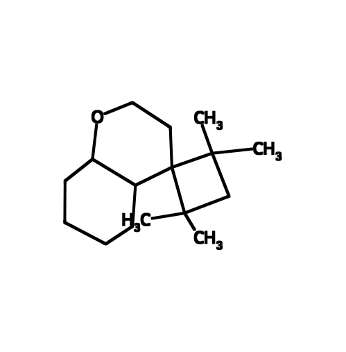 CC1(C)CC(C)(C)C12CCOC1CCCCC12